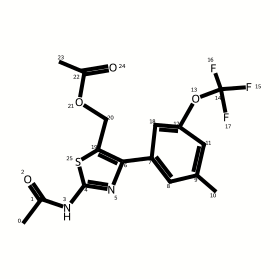 CC(=O)Nc1nc(-c2cc(C)cc(OC(F)(F)F)c2)c(COC(C)=O)s1